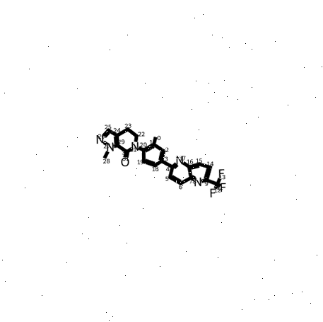 Cc1cc(-c2ccc3nc(C(F)(F)F)ccc3n2)ccc1N1CCc2cnn(C)c2C1=O